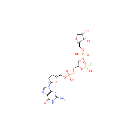 Nc1nc2c(ncn2[C@H]2CC[C@@H](COP(=O)(O)OCC(COP(=O)(O)OC[C@H]3OC[C@H](O)[C@@H]3O)OP(=O)(O)F)O2)c(=O)[nH]1